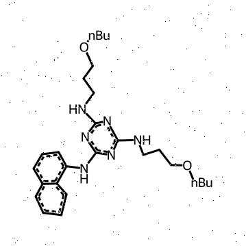 CCCCOCCCNc1nc(NCCCOCCCC)nc(Nc2cccc3ccccc23)n1